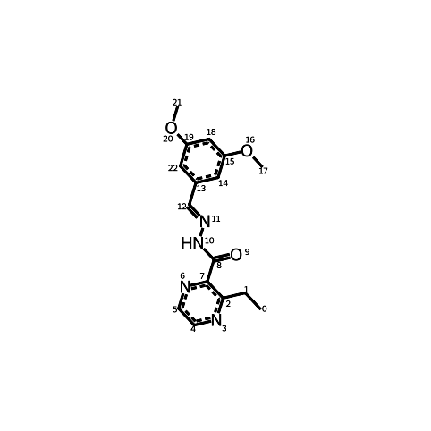 CCc1nccnc1C(=O)N/N=C/c1cc(OC)cc(OC)c1